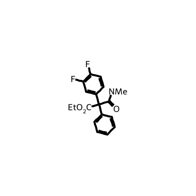 CCOC(=O)C(C(=O)NC)(c1ccccc1)c1ccc(F)c(F)c1